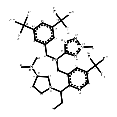 CCC(c1ncc(C(F)(F)F)cc1CN(Cc1cc(C(F)(F)F)cc(C(F)(F)F)c1)c1nnn(C)n1)N1CC[C@@H](N(C)C)C1